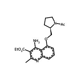 CCOC(=O)c1c(C)nc2cccc(OC[C@H]3CCCN3C(C)=O)c2c1N